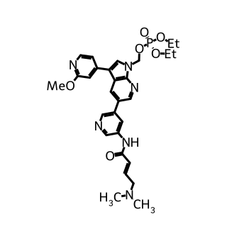 CCOP(=O)(OCC)OCn1cc(-c2ccnc(OC)c2)c2cc(-c3cncc(NC(=O)C=CCN(C)C)c3)cnc21